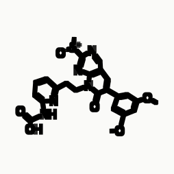 COc1cc(OC)cc(-c2cc3cnc([S+](C)[O-])nc3n(CCc3cccc(NC(=O)O)n3)c2=O)c1